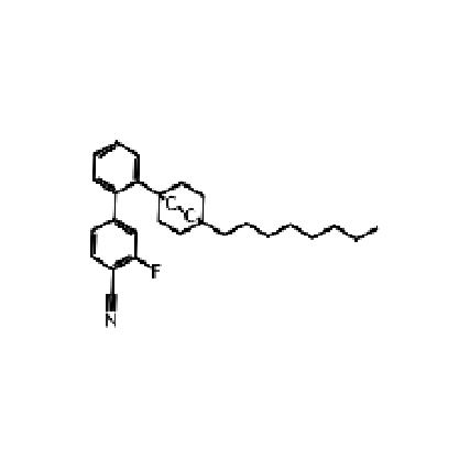 CCCCCCCCC12CCC(c3ccccc3-c3ccc(C#N)c(F)c3)(CC1)CC2